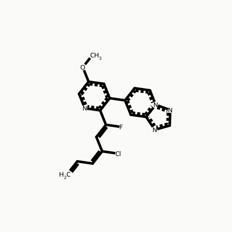 C=C/C=C(Cl)\C=C(/F)c1ncc(OC)cc1-c1ccn2ncnc2c1